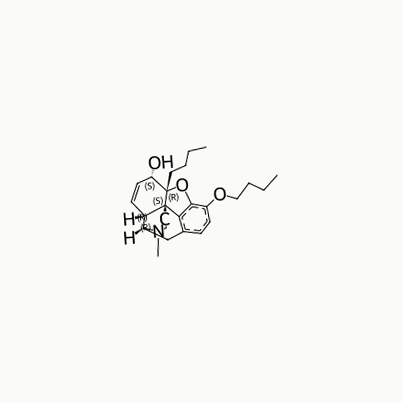 CCCCOc1ccc2c3c1O[C@@]1(CCCC)[C@@H](O)C=C[C@H]4[C@@H](C2)N(C)CC[C@@]341